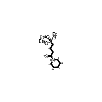 CCO[Si](CCCC(=S)N1CCCCC1)(OCC)OCC